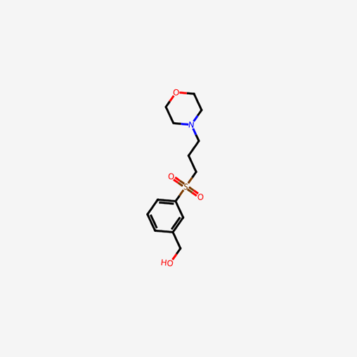 O=S(=O)(CCCN1CCOCC1)c1cccc(CO)c1